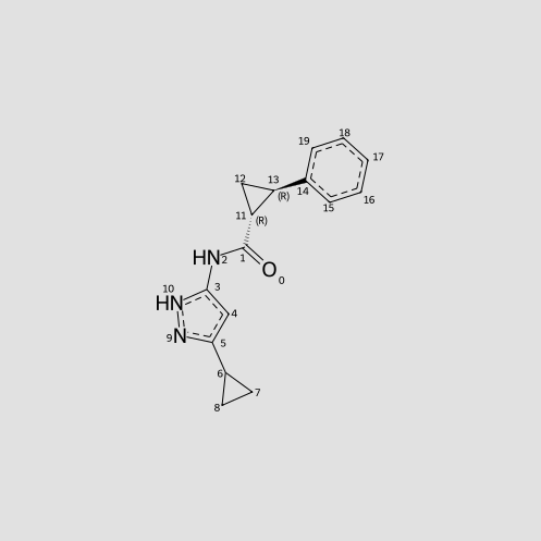 O=C(Nc1cc(C2CC2)n[nH]1)[C@@H]1C[C@H]1c1ccccc1